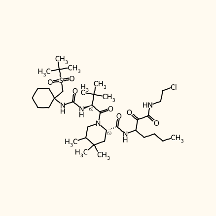 CCCCC(NC(=O)[C@@H]1CC(C)(C)C(C)CN1C(=O)[C@@H](NC(=O)NC1(CS(=O)(=O)C(C)(C)C)CCCCC1)C(C)(C)C)C(=O)C(=O)NCCCl